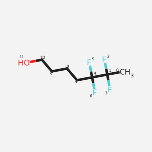 CC(F)(F)C(F)(F)CCCCO